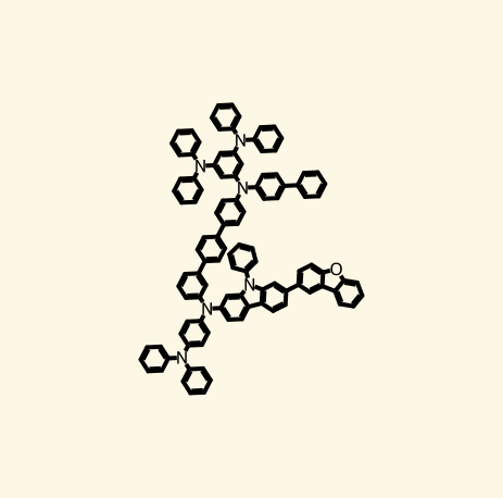 c1ccc(-c2ccc(N(c3ccc(-c4ccc(-c5cccc(N(c6ccc(N(c7ccccc7)c7ccccc7)cc6)c6ccc7c8ccc(-c9ccc%10oc%11ccccc%11c%10c9)cc8n(-c8ccccc8)c7c6)c5)cc4)cc3)c3cc(N(c4ccccc4)c4ccccc4)cc(N(c4ccccc4)c4ccccc4)c3)cc2)cc1